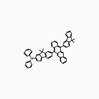 CC1(C)c2ccccc2-c2cc(-c3c4ccccc4c(-c4ccc5c(c4)C(C)(C)c4cc(N(c6ccccc6)c6ccccc6)ccc4-5)c4cc5ccccc5cc34)ccc21